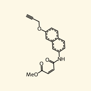 C#CCOc1ccc2ccc(NC(=O)/C=C\C(=O)OC)cc2c1